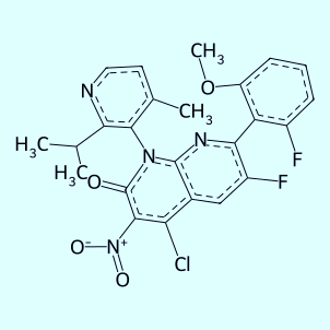 COc1cccc(F)c1-c1nc2c(cc1F)c(Cl)c([N+](=O)[O-])c(=O)n2-c1c(C)ccnc1C(C)C